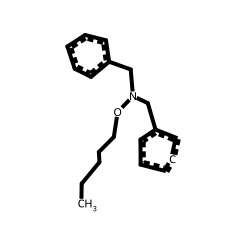 CCCCCON(Cc1ccccc1)Cc1ccccc1